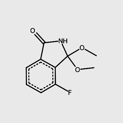 COC1(OC)NC(=O)c2cccc(F)c21